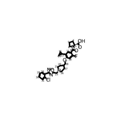 O=C(O)[C@@H]1CCCN1C(=O)c1cc(C2CC2)c(OCC2CCN(Cc3nc(-c4ccccc4Cl)no3)CC2)cc1F